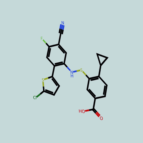 N#Cc1cc(NSc2cc(C(=O)O)ccc2C2CC2)c(-c2ccc(Cl)s2)cc1F